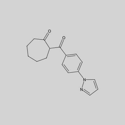 O=C1CCCCCC1C(=O)c1ccc(-n2cccn2)cc1